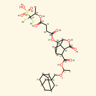 CC(OCC12CC3CC(CC(C3)C1)C2)OC(=O)C1C2CC3C(OC(=O)C31)C2OC(=O)CCC(=O)OC(C)C(F)(F)S(=O)(=O)O